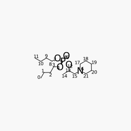 CCCCOP(=O)(OCCCC)OC(C)CN1CCCCC1